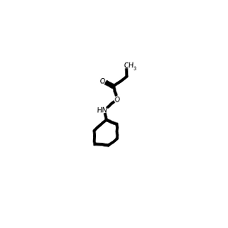 CCC(=O)ONC1CCCCC1